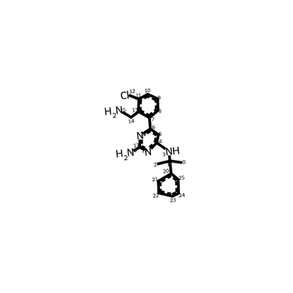 CC(C)(Nc1cc(-c2cccc(Cl)c2CN)nc(N)n1)c1ccccc1